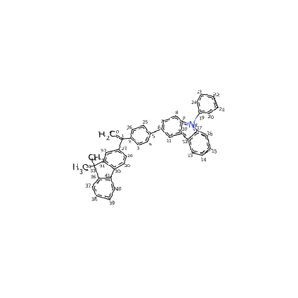 C=C(c1ccc(-c2ccc3c(c2)c2ccccc2n3-c2ccccc2)cc1)c1ccc2c(c1)C(C)(C)c1ccccc1-2